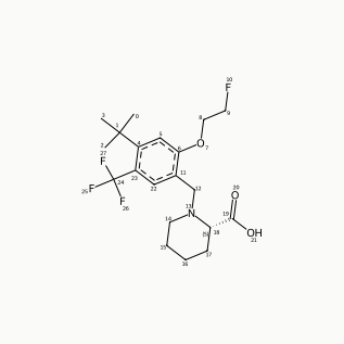 CC(C)(C)c1cc(OCCF)c(CN2CCCC[C@H]2C(=O)O)cc1C(F)(F)F